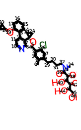 Cc1cc(COC2(c3cnccc3-c3ccccc3OC3CC3)CC2)c(Cl)cc1CCCCN(C)C(=O)C(O)C(O)C(O)C(O)CO